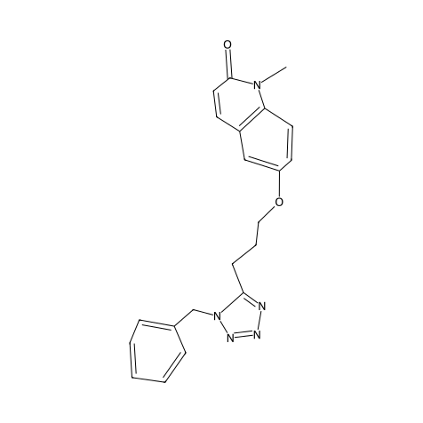 Cn1c(=O)ccc2cc(OCCCc3nnnn3Cc3ccccc3)ccc21